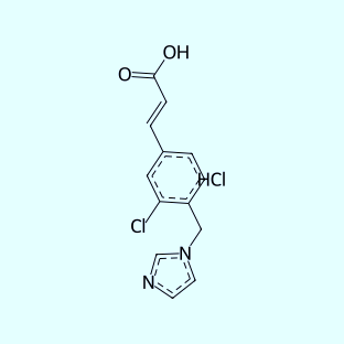 Cl.O=C(O)C=Cc1ccc(Cn2ccnc2)c(Cl)c1